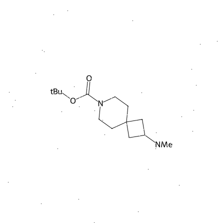 CNC1CC2(CCN(C(=O)OC(C)(C)C)CC2)C1